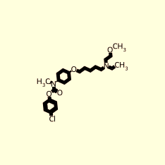 CCN(CCCCCO[C@H]1CC[C@H](N(C)C(=O)Oc2ccc(Cl)cc2)CC1)CCOC